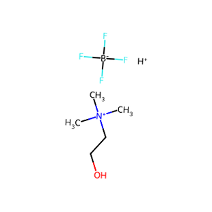 C[N+](C)(C)CCO.F[B-](F)(F)F.[H+]